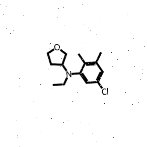 CCN(c1cc(Cl)cc(C)c1C)C1CCOC1